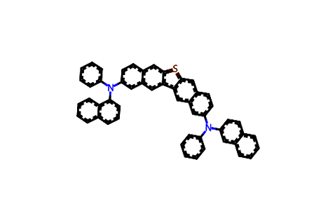 c1ccc(N(c2ccc3ccccc3c2)c2ccc3cc4sc5cc6ccc(N(c7ccccc7)c7cccc8ccccc78)cc6cc5c4cc3c2)cc1